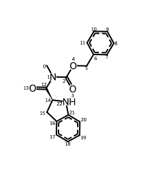 CN(C(=O)OCc1ccccc1)C(=O)[C@@H]1Cc2ccccc2N1